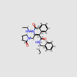 CCNn1c(CN2CCCC2=O)c(C(=O)N[C@@H](CC)c2ccccc2)c2ccccc2c1=O